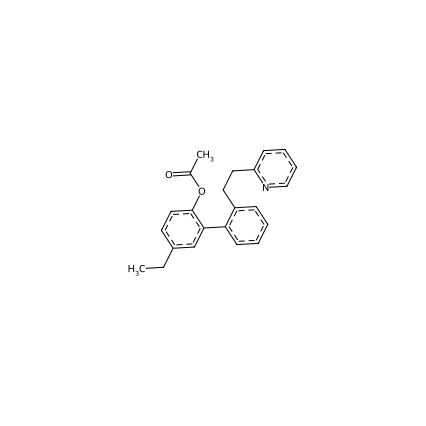 CCc1ccc(OC(C)=O)c(-c2ccccc2CCc2ccccn2)c1